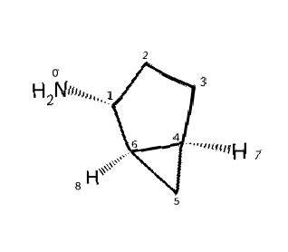 N[C@@H]1CC[C@H]2C[C@H]21